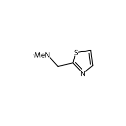 C[N]Cc1nccs1